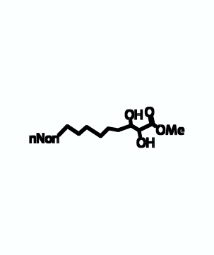 CCCCCCCCCCCCCCCC(O)C(O)C(=O)OC